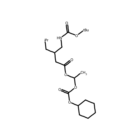 CC(C)CC(CNC(=O)OC(C)(C)C)CC(=O)OC(C)OC(=O)OC1CCCCC1